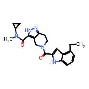 CCc1cccc2[nH]c(C(=O)N3CCc4n[nH]c(C(=O)N(C)C5CC5)c4C3)cc12